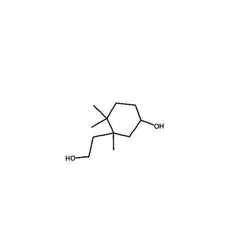 CC1(C)CCC(O)CC1(C)CCO